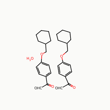 O.O=CC(=O)c1ccc(OCC2CCCCC2)cc1.O=CC(=O)c1ccc(OCC2CCCCC2)cc1